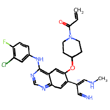 C=CC(=O)N1CCC(Oc2cc3c(Nc4ccc(F)c(Cl)c4)ncnc3cc2/C(C=N)=C/NC)CC1